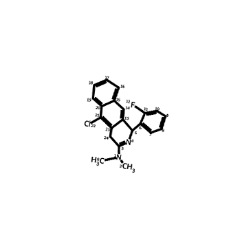 CN(C)C1=NC(c2ccccc2F)c2cc3ccccc3c(Cl)c2C1